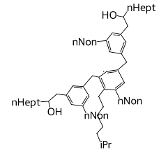 CCCCCCCCCc1cc(Cc2[c]c(Cc3cc(CCCCCCCCC)cc(CC(O)CCCCCCC)c3)c(CCCCCC(C)C)c(CCCCCCCCC)c2)cc(CC(O)CCCCCCC)c1